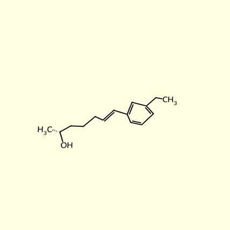 CCc1cccc(/C=C/CCC[C@@H](C)O)c1